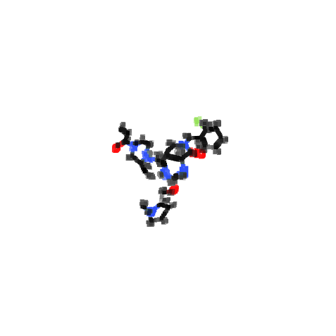 C=CC(=O)N1CCN(c2nc(OC[C@@H]3CCCN3C)nc3c2CN(Cc2c(O)cccc2F)C3)[C@@H](C)C1